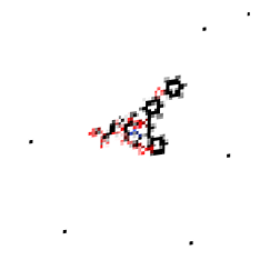 CC(C(CCc1ccccc1)c1ccc(Oc2ccccc2)cc1)N(CC(=O)O)C(=O)C1(C(=O)O)OCC(C(=O)O)O1